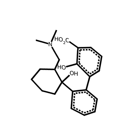 CN(C)CC1CCCCC1(O)c1ccccc1-c1cccc(C(=O)O)c1O